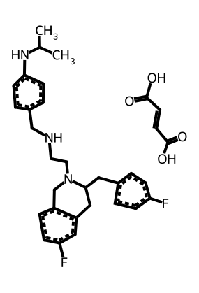 CC(C)Nc1ccc(CNCCN2Cc3ccc(F)cc3CC2Cc2ccc(F)cc2)cc1.O=C(O)/C=C/C(=O)O